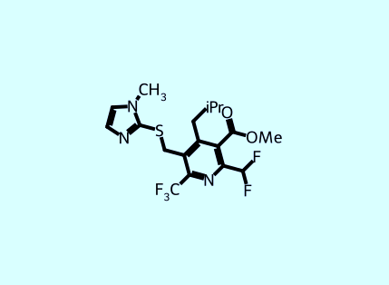 COC(=O)c1c(C(F)F)nc(C(F)(F)F)c(CSc2nccn2C)c1CC(C)C